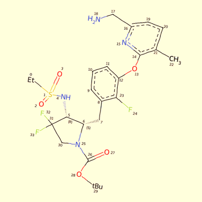 CCS(=O)(=O)N[C@@H]1[C@H](Cc2cccc(Oc3nc(CN)ccc3C)c2F)N(C(=O)OC(C)(C)C)CC1(F)F